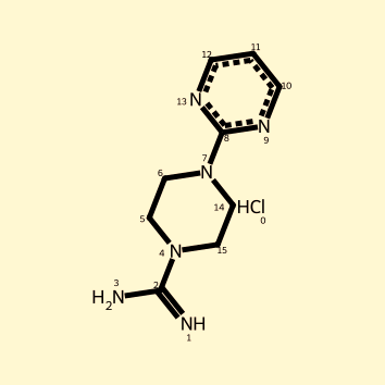 Cl.N=C(N)N1CCN(c2ncccn2)CC1